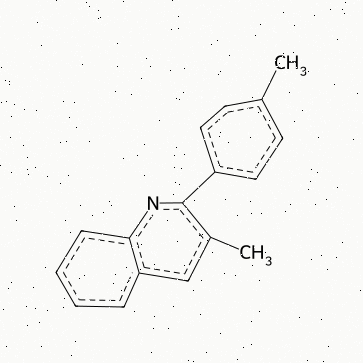 Cc1ccc(-c2nc3ccccc3cc2C)cc1